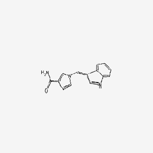 NC(=O)c1ccn(C=C2C=Nc3ccccc32)c1